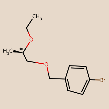 CCO[C@H](C)COCc1ccc(Br)cc1